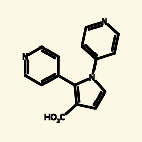 O=C(O)c1ccn(-c2ccncc2)c1-c1ccncc1